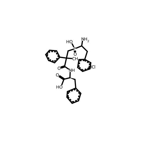 CC(CP(=O)(O)C(N)Cc1ccccc1)(C(=O)N[C@@H](Cc1ccccc1)C(=O)O)c1ccccc1.Cl